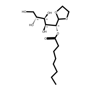 CCCCCCCC(=O)O[C@@H](C1OCCO1)[C@@H](O)[C@H](O)[C@H](O)CO